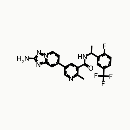 Cc1ncc(-c2ccn3nc(N)nc3c2)cc1C(=O)NC(C)c1cc(C(F)(F)F)ccc1F